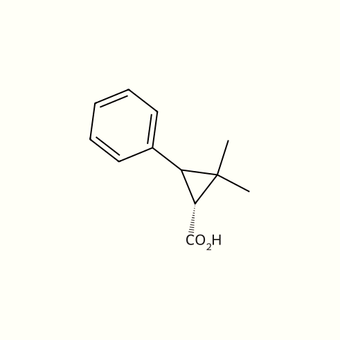 CC1(C)C(c2ccccc2)[C@H]1C(=O)O